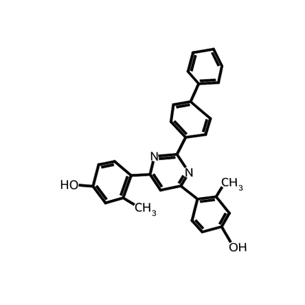 Cc1cc(O)ccc1-c1cc(-c2ccc(O)cc2C)nc(-c2ccc(-c3ccccc3)cc2)n1